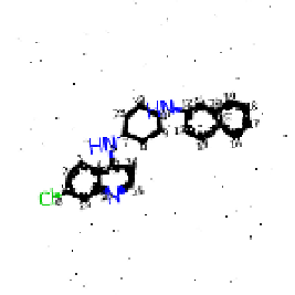 Clc1ccc2c(N[C@H]3CC[C@@H](Nc4ccc5ccccc5c4)CC3)ccnc2c1